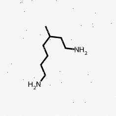 CC(CCN)CCCCN